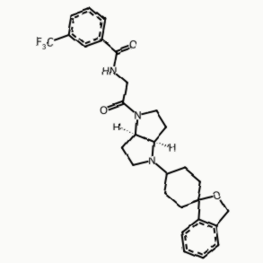 O=C(NCC(=O)N1CC[C@@H]2[C@H]1CCN2C1CCC2(CC1)OCc1ccccc12)c1cccc(C(F)(F)F)c1